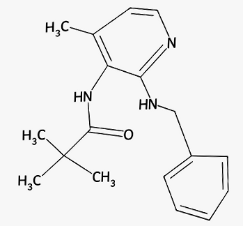 Cc1ccnc(NCc2ccccc2)c1NC(=O)C(C)(C)C